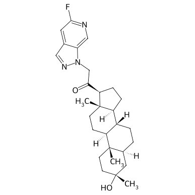 C[C@@]1(O)CC[C@@]2(C)[C@@H](CC[C@@H]3[C@@H]2CC[C@]2(C)[C@@H](C(=O)Cn4ncc5cc(F)ncc54)CC[C@@H]32)C1